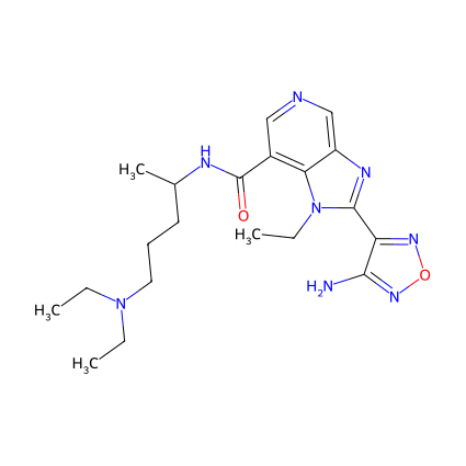 CCN(CC)CCCC(C)NC(=O)c1cncc2nc(-c3nonc3N)n(CC)c12